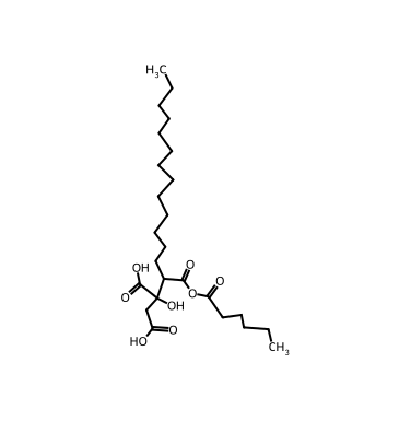 CCCCCCCCCCCCCC(C(=O)OC(=O)CCCCC)C(O)(CC(=O)O)C(=O)O